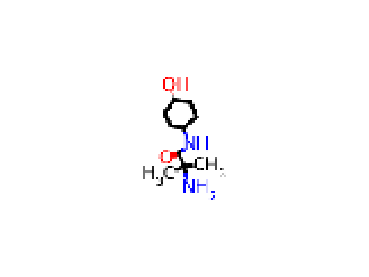 CC(C)(N)C(=O)N[C@H]1CC[C@H](O)CC1